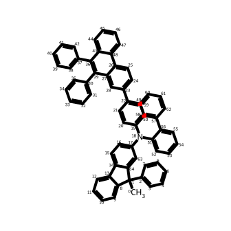 CC1(c2ccccc2)c2ccccc2-c2ccc(N(c3ccc(-c4ccc5c(c4)c(-c4ccccc4)c(-c4ccccc4)c4ccccc45)cc3)c3ccccc3-c3ccccc3)cc21